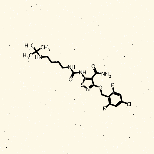 CC(C)(C)NCCCCNC(=O)Nc1snc(OCc2c(F)cc(Cl)cc2F)c1C(N)=O